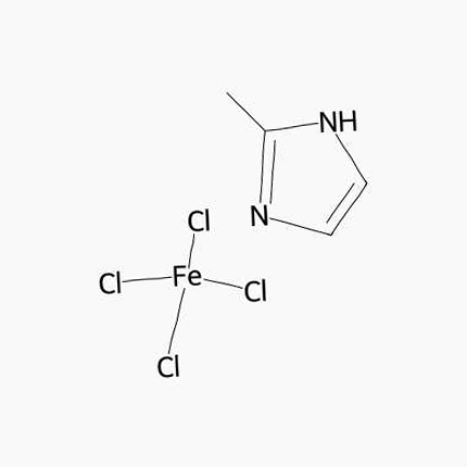 Cc1ncc[nH]1.[Cl][Fe]([Cl])([Cl])[Cl]